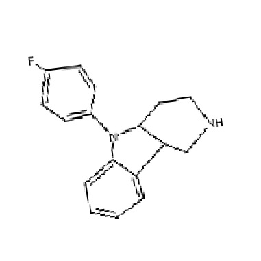 Fc1ccc(N2c3ccccc3C3CNCCC32)cc1